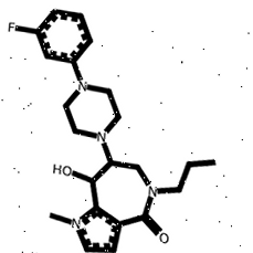 CCCN1CC(N2CCN(c3cccc(F)c3)CC2)C(O)c2c(ccn2C)C1=O